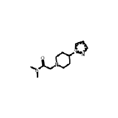 CN(C)C(=O)CN1CCC(n2c[c]cn2)CC1